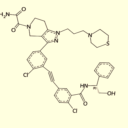 NC(=O)C(=O)N1CCc2c(c(-c3ccc(Cl)c(C#Cc4ccc(Cl)c(C(=O)N[C@@H](CO)c5ccccc5)c4)c3)nn2CCCN2CCSCC2)C1